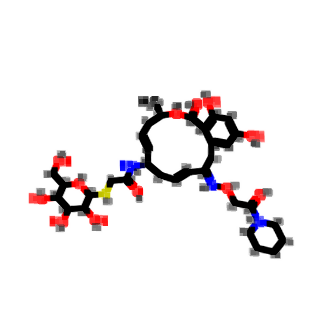 C[C@@H]1C/C=C/[C@H](NC(=O)CSC2OC(CO)C(O)C(O)C2O)C/C=C/C(=N/OCC(=O)N2CCCCC2)Cc2cc(O)cc(O)c2C(=O)O1